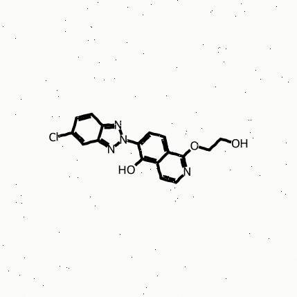 OCCOc1nccc2c(O)c(-n3nc4ccc(Cl)cc4n3)ccc12